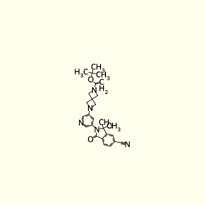 C=C(OC(C)(C)C)N1CC2(C1)CN(c1cncc(N3C(=O)c4ccc(C#N)cc4C3(C)C)c1)C2